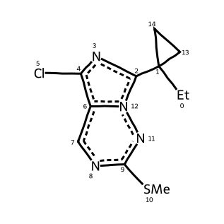 CCC1(c2nc(Cl)c3cnc(SC)nn23)CC1